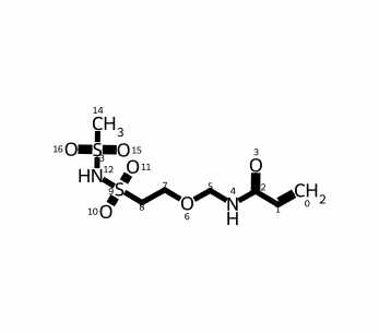 C=CC(=O)NCOCCS(=O)(=O)NS(C)(=O)=O